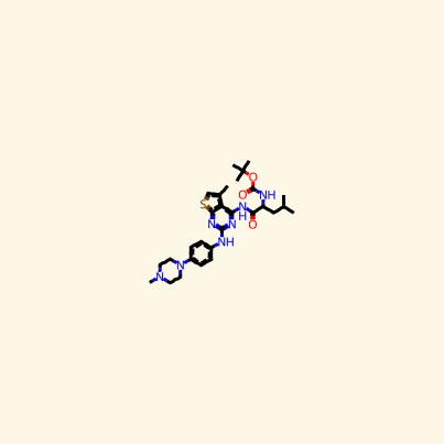 Cc1csc2nc(Nc3ccc(N4CCN(C)CC4)cc3)nc(NC(=O)C(CC(C)C)NC(=O)OC(C)(C)C)c12